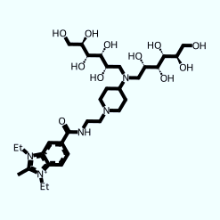 CCn1c(C)[n+](CC)c2ccc(C(=O)NCCN3CCC(N(C[C@H](O)[C@@H](O)[C@H](O)[C@H](O)CO)C[C@H](O)[C@@H](O)[C@H](O)[C@H](O)CO)CC3)cc21